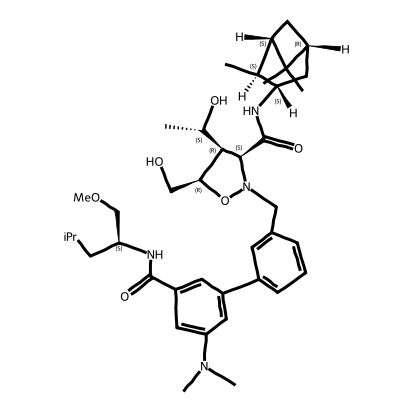 COC[C@H](CC(C)C)NC(=O)c1cc(-c2cccc(CN3O[C@@H](CO)[C@@H]([C@H](C)O)[C@H]3C(=O)N[C@H]3C[C@H]4C[C@@H]([C@@H]3C)C4(C)C)c2)cc(N(C)C)c1